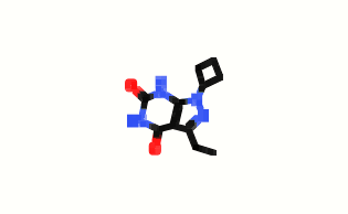 CCc1nn(C2CCC2)c2[nH]c(=O)[nH]c(=O)c12